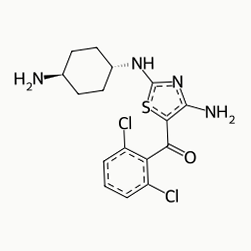 Nc1nc(N[C@H]2CC[C@H](N)CC2)sc1C(=O)c1c(Cl)cccc1Cl